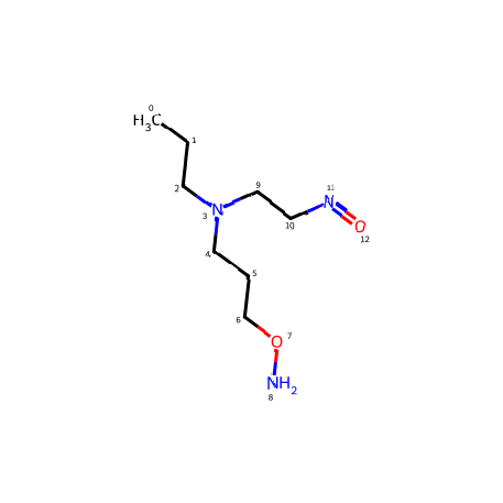 CCCN(CCCON)CCN=O